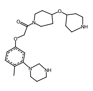 Cc1ccc(OCC(=O)N2CCC(OC3CCNCC3)CC2)cc1N1CCCNC1